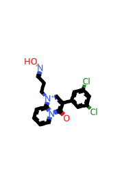 O=c1c(-c2cc(Cl)cc(Cl)c2)c[n+](CCC=NO)c2ccccn12